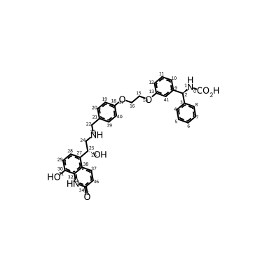 O=C(O)N[C@@H](c1ccccc1)c1cccc(OCCOc2ccc(CNC[C@H](O)c3ccc(O)c4[nH]c(=O)ccc34)cc2)c1